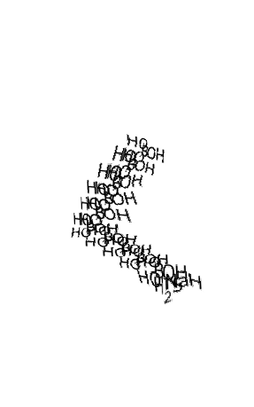 OB(O)O.OB(O)O.OB(O)O.OB(O)O.OB(O)O.OB(O)O.OB(O)O.OB(O)O.OB(O)O.OB(O)O.S.[NaH]